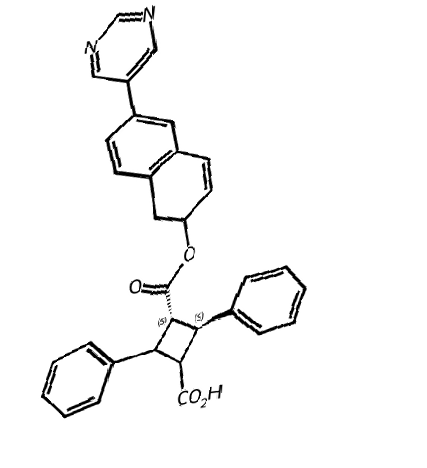 O=C(O)C1C(c2ccccc2)[C@H](C(=O)OC2C=Cc3cc(-c4cncnc4)ccc3C2)[C@H]1c1ccccc1